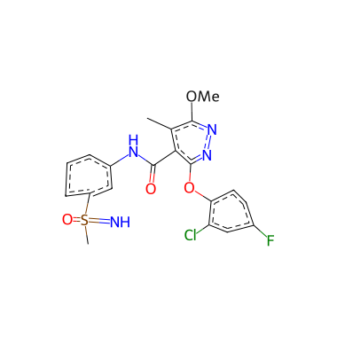 COc1nnc(Oc2ccc(F)cc2Cl)c(C(=O)Nc2cccc(S(C)(=N)=O)c2)c1C